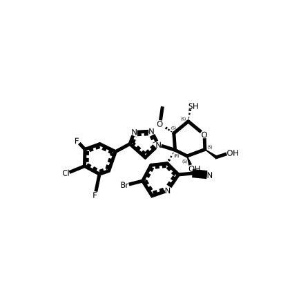 CO[C@@H]1[C@H](S)O[C@@H](CO)[C@@H](O)[C@@]1(c1cc(Br)cnc1C#N)n1cc(-c2cc(F)c(Cl)c(F)c2)nn1